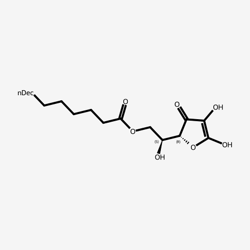 CCCCCCCCCCCCCCCC(=O)OC[C@H](O)[C@H]1OC(O)=C(O)C1=O